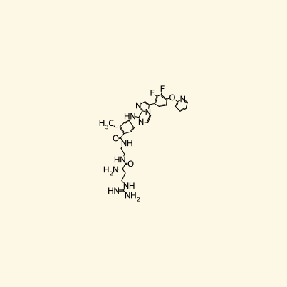 CCc1cc(Nc2nccn3c(-c4ccc(Oc5ccccn5)c(F)c4F)cnc23)ccc1C(=O)NCCNC(=O)[C@@H](N)CCNC(=N)N